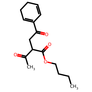 CCCCOC(=O)C(CC(=O)C1=CCCC=C1)C(C)=O